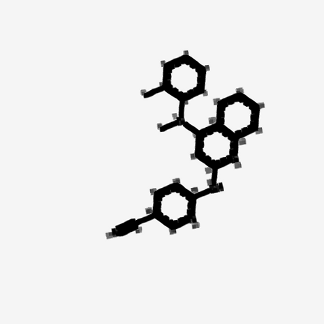 Cc1ccccc1N(C)c1cc(Nc2ccc(C#N)cn2)nc2ccccc12